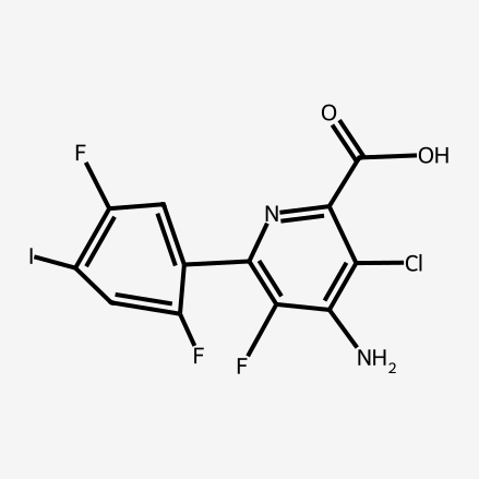 Nc1c(F)c(-c2cc(F)c(I)cc2F)nc(C(=O)O)c1Cl